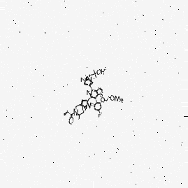 C=CC(=O)N1Cc2cc(-c3nc(-c4cnn(CC(C)(C)O)c4)c4ccsc4c3-c3c(F)cc(F)cc3OCCOC)nn2CC1C